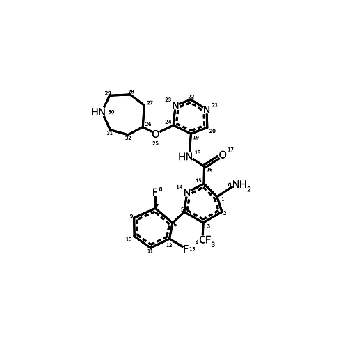 Nc1cc(C(F)(F)F)c(-c2c(F)cccc2F)nc1C(=O)Nc1cncnc1OC1CCCNCC1